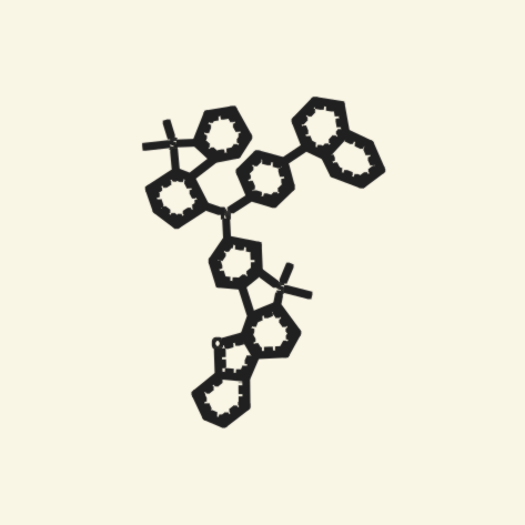 CS1(C)c2ccccc2-c2c(N(c3ccc(-c4cccc5ccccc45)cc3)c3ccc4c(c3)S(C)(C)c3ccc5c(oc6ccccc65)c3-4)cccc21